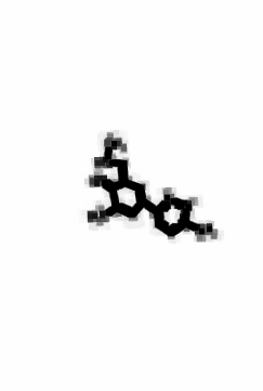 CN/C=C1/C=C(c2ccc(N)nn2)C=C(C)C1=N